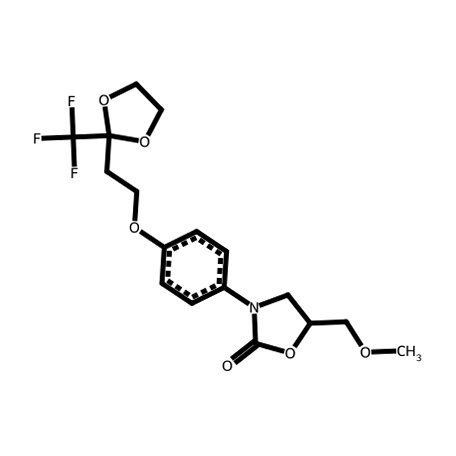 COCC1CN(c2ccc(OCCC3(C(F)(F)F)OCCO3)cc2)C(=O)O1